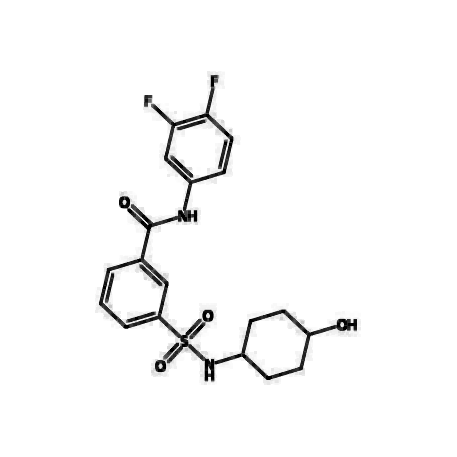 O=C(Nc1ccc(F)c(F)c1)c1cccc(S(=O)(=O)NC2CCC(O)CC2)c1